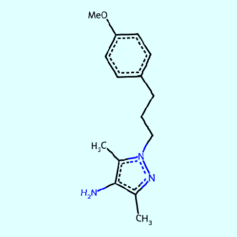 COc1ccc(CCCn2nc(C)c(N)c2C)cc1